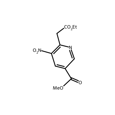 CCOC(=O)Cc1ncc(C(=O)OC)cc1[N+](=O)[O-]